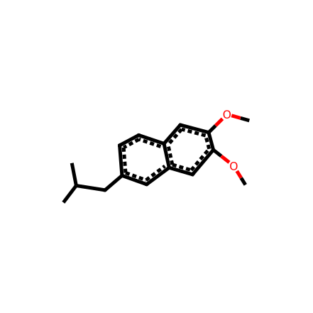 COc1cc2ccc(CC(C)C)cc2cc1OC